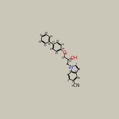 N#Cc1ccc2c(ccn2CC(O)COc2ccc(-c3ccccc3)cc2)c1